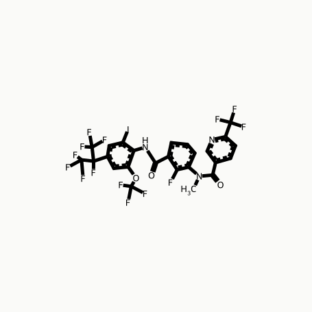 CN(C(=O)c1ccc(C(F)(F)F)nc1)c1cccc(C(=O)Nc2c(I)cc(C(F)(C(F)(F)F)C(F)(F)F)cc2OC(F)(F)F)c1F